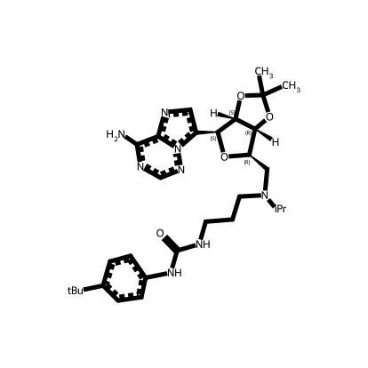 CC(C)N(CCCNC(=O)Nc1ccc(C(C)(C)C)cc1)C[C@H]1O[C@@H](c2cnc3c(N)ncnn23)[C@@H]2OC(C)(C)O[C@@H]21